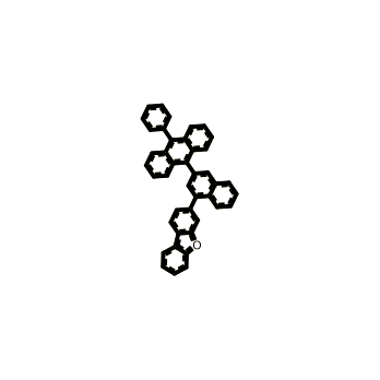 c1ccc(-c2c3ccccc3c(-c3cc(-c4ccc5c(c4)oc4ccccc45)c4ccccc4c3)c3ccccc23)cc1